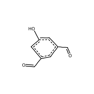 O=Cc1cc(O)cc(C=O)c1